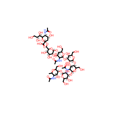 CC(=O)NC1C(C)OC(CO)[C@@H](O[C@@H]2OC(CO)[C@H](O)[C@H](O[C@@H]3OC(CO)[C@@H](O[C@@H]4OC(CO)[C@H](O)[C@H](O[C@@H]5OC(CO)[C@@H](O[C@@H]6OC(CO[C@]7(C(=O)O)C[C@@H](O)[C@@H](NC(C)=O)C([C@H](O)[C@H](O)CO)O7)[C@H](O)[C@H](O)C6O)[C@H](O)C5NC(C)=O)C4O)[C@H](O)C3NC(C)=O)C2O)[C@@H]1O